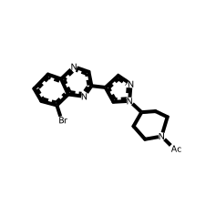 CC(=O)N1CCC(n2cc(-c3cnc4cccc(Br)c4n3)cn2)CC1